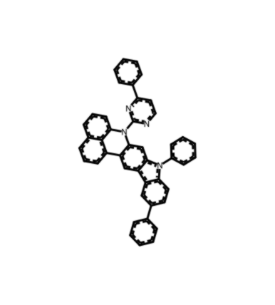 c1ccc(-c2ccc3c(c2)c2cc4c(cc2n3-c2ccccc2)N(c2nccc(-c3ccccc3)n2)c2cccc3cccc-4c23)cc1